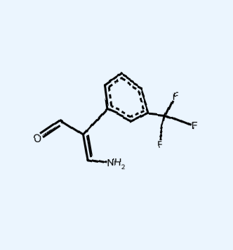 N/C=C(/C=O)c1cccc(C(F)(F)F)c1